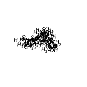 CC[C@H](C)[C@@H]([C@@H](CC(=O)N1CCC[C@H]1[C@H](OC)[C@@H](C)C(=O)N[C@H](C)[C@@H](O)c1ccccc1)OC)N(C)C(=O)[C@@H](NC(=O)C(C(C)C)N(C)C(=O)OCc1ccc(NC(=O)[C@H](CCCNC(N)=O)NC(=O)[C@@H](N)C(C)C)cc1)C(C)C